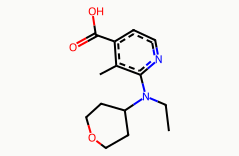 CCN(c1nccc(C(=O)O)c1C)C1CCOCC1